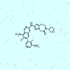 Cc1c(N)cncc1-c1cc2cc(Nc3cc4n(n3)CC(=O)N(C3CCOC3)CC4)ncc2c(N)c1F